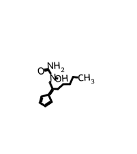 CCCCCC(CN(O)C(N)=O)=C1C=CC=C1